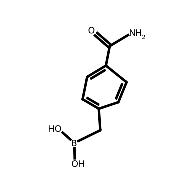 NC(=O)c1ccc(CB(O)O)cc1